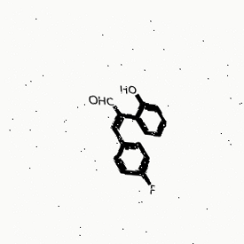 O=CC(=Cc1ccc(F)cc1)c1ccccc1O